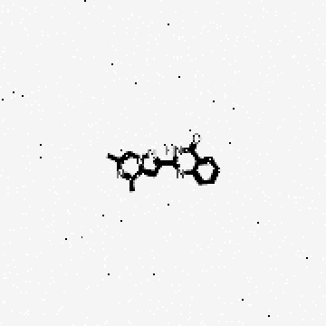 Cc1cn2nc(-c3nc4ccccc4c(=O)[nH]3)cc2c(C)n1